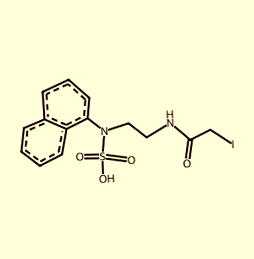 O=C(CI)NCCN(c1cccc2ccccc12)S(=O)(=O)O